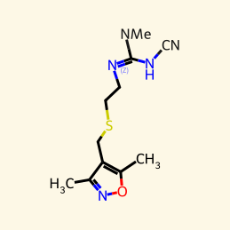 CN/C(=N/CCSCc1c(C)noc1C)NC#N